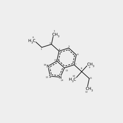 CCC(C)c1ccc(C(C)(C)CC)c2nsnc12